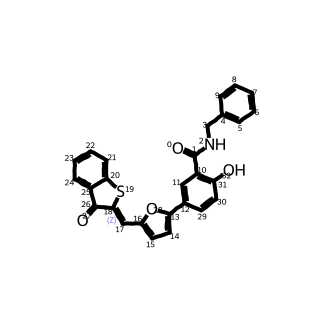 O=C(NCc1ccccc1)c1cc(-c2ccc(/C=C3\Sc4ccccc4C3=O)o2)ccc1O